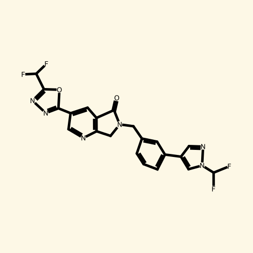 O=C1c2cc(-c3nnc(C(F)F)o3)cnc2CN1Cc1cccc(-c2cnn(C(F)F)c2)c1